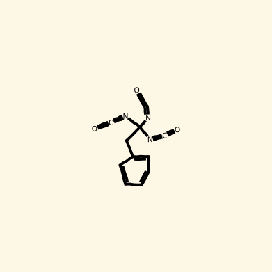 O=C=NC(Cc1ccccc1)(N=C=O)N=C=O